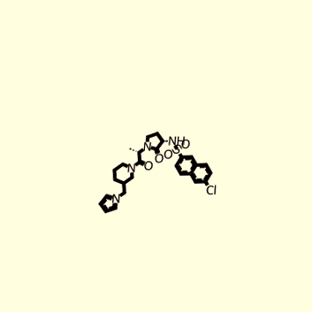 C[C@@H](C(=O)N1CCCC(Cn2cccc2)C1)N1CC[C@H](NS(=O)(=O)c2ccc3cc(Cl)ccc3c2)C1=O